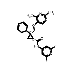 Cc1ncc(OC[C@@]2(C3C=CC=CC3)C[C@H]2C(=O)Nc2cc(F)nc(F)c2)c(C)n1